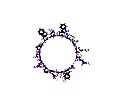 CCCC[C@H]1C(=O)N(C)[C@@H](CCCC)C(=O)N[C@@H](CCC(=O)O)C(=O)NC(C(=O)NCC(N)=O)CSCC(=O)N[C@@H](Cc2ccc(O)cc2)C(=O)N(C)[C@@H](C)C(=O)N[C@@H](CC(N)=O)C(=O)N2CCC[C@H]2C(=O)N[C@@H](CC(N)=O)C(=O)N[C@@H](CC(C)C)C(=O)N2CCC[C@H]2C(=O)N[C@@H](Cc2c[nH]c3ccccc23)C(=O)N[C@@H](CCN)C(=O)N[C@@H](Cc2c[nH]c3ccccc23)C(=O)N1C